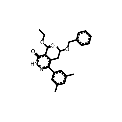 CCOC(=O)c1c(CC(C)OCc2ccccc2)c(-c2cc(C)cc(C)c2)n[nH]c1=O